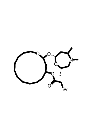 CC(C)CC(=O)OC1CCCCCCCCCCOC(O[C@@H]2CC(C)N(C)C[C@H](C)O2)C1